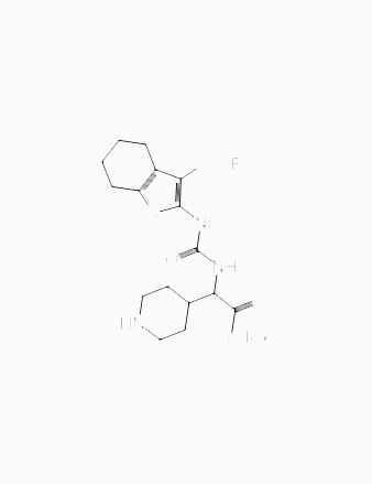 CCCCCCC(=O)C(NC(=O)Nc1sc2c(c1C(=O)OCC)CCCC2)C1CCNCC1